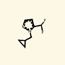 FC(F)c1[c]cnn1CC1CC1